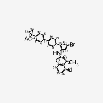 CC(=O)C1(c2ccc(-c3ccc(-c4sc(Br)cc4NC(=O)OC(C)c4ccccc4Cl)cc3)cc2)CC1